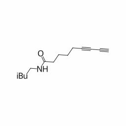 C#CC#CCCCCC(=O)NCC(C)CC